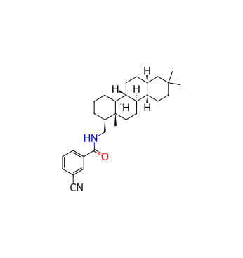 CC1(C)CC[C@H]2[C@H](CC[C@@H]3[C@@H]2CC[C@]2(C)[C@@H](CNC(=O)c4cccc(C#N)c4)CCC[C@@H]32)C1